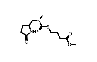 COC(=O)CCCSC(=S)N(C)CC1CCC(=O)N1